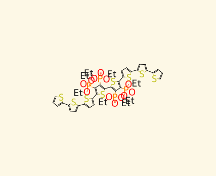 CCOP(=O)(OCC)c1c(-c2ccc(-c3ccc(-c4cccs4)s3)s2)sc(-c2sc(-c3ccc(-c4ccc(-c5cccs5)s4)s3)c(P(=O)(OCC)OCC)c2P(=O)(OCC)OCC)c1P(=O)(OCC)OCC